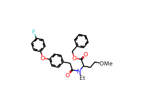 CCN(C(=O)Cc1ccc(Oc2ccc(F)cc2)cc1)C(CCOC)C(=O)OCc1ccccc1